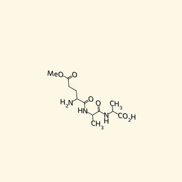 COC(=O)CCC(N)C(=O)NC(C)C(=O)NC(C)C(=O)O